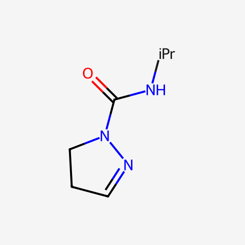 CC(C)NC(=O)N1CCC=N1